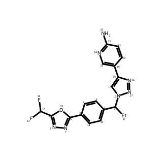 CCC(c1ccc(-c2nnc(C(F)F)o2)cc1)n1cc(-c2ccc(N)nc2)nn1